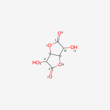 O=C1OC2C(O)C(=O)OC2C1O